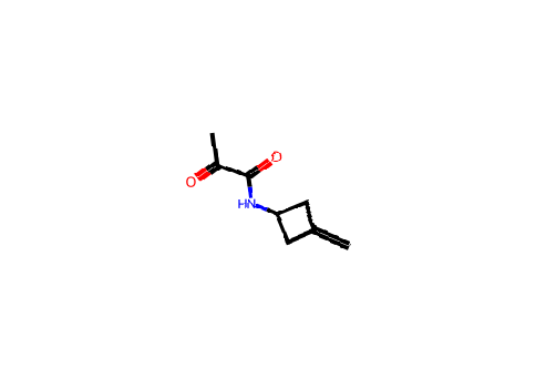 C=C1CC(NC(=O)C(C)=O)C1